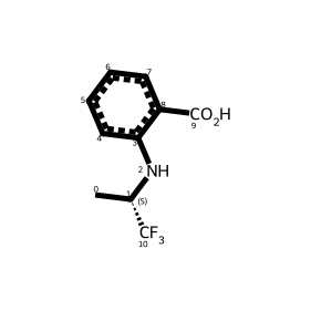 C[C@H](Nc1ccccc1C(=O)O)C(F)(F)F